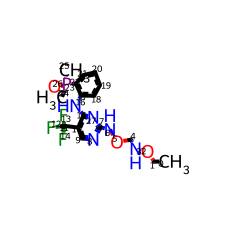 CCONCONc1ncc(C(F)(F)F)c(Nc2ccccc2P(C)(C)=O)n1